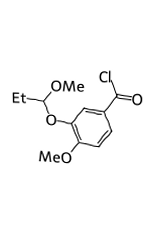 CCC(OC)Oc1cc(C(=O)Cl)ccc1OC